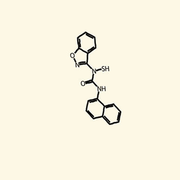 O=C(Nc1cccc2ccccc12)N(S)c1noc2ccccc12